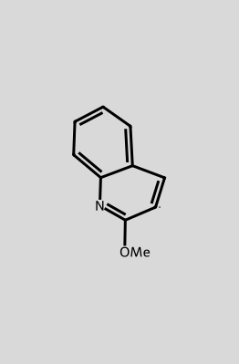 COc1[c]cc2ccccc2n1